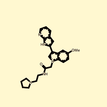 COc1ccc2c(c1)c(-c1cc3cccnc3[nH]1)cn2CC(=O)NCCN1CCCC1